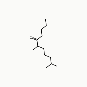 CCCCC(=O)C(C)CCCC(C)C